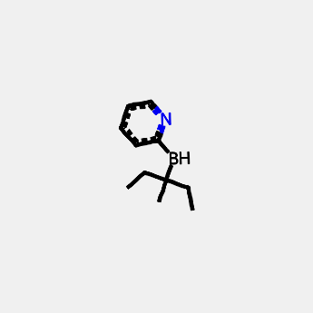 CCC(C)(Bc1ccccn1)CC